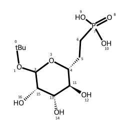 CC(C)(C)OC1O[C@H](CCP(=O)(O)O)[C@@H](O)[C@H](O)[C@@H]1O